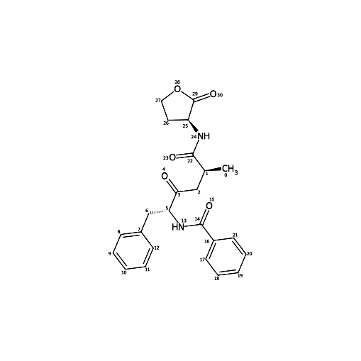 C[C@@H](CC(=O)[C@@H](Cc1ccccc1)NC(=O)c1ccccc1)C(=O)N[C@H]1CCOC1=O